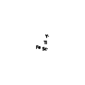 [Fe].[Sc].[Ti].[Y]